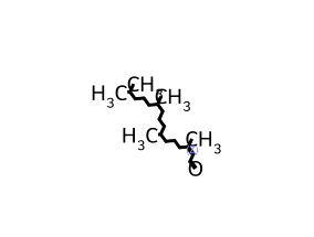 C/C(=C/C=O)CCCC(C)CCCC(C)CCCC(C)C